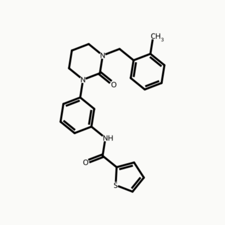 Cc1ccccc1CN1CCCN(c2cccc(NC(=O)c3cccs3)c2)C1=O